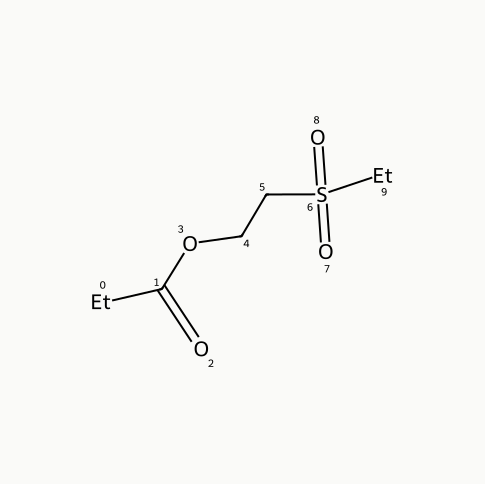 CCC(=O)OCCS(=O)(=O)CC